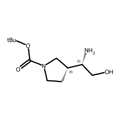 CC(C)(C)OC(=O)N1CC[C@@H]([C@H](N)CO)C1